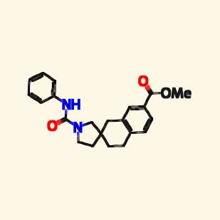 COC(=O)c1ccc2c(c1)CC1(CC2)CCN(C(=O)Nc2ccccc2)C1